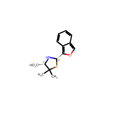 CC1(C)S[C@@H](c2occ3ccccc23)N[C@H]1C(=O)O